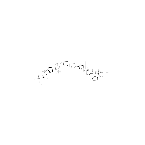 CC(C)S(=O)(=O)c1ccccc1Nc1nc(Nc2ccc(C3CCN(c4ccc(CN5CCC(O)(c6ccc7c(c6)CN(C6CCC(=O)NC6=O)C7=O)CC5)cc4)CC3)cn2)ncc1Cl